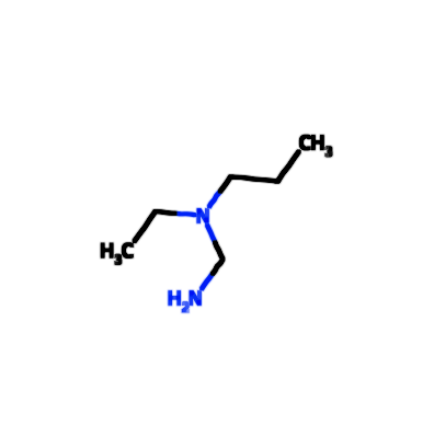 CCCN(CC)CN